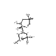 [2H]N1CC([2H])([2H])COP1(=O)N(CCCl)CC([2H])([2H])Cl